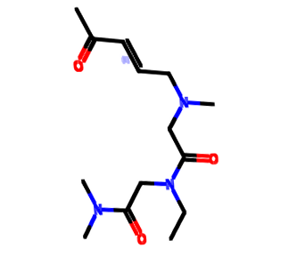 CCN(CC(=O)N(C)C)C(=O)CN(C)C/C=C/C(C)=O